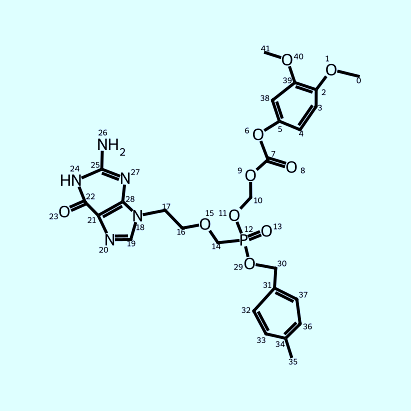 COc1ccc(OC(=O)OCOP(=O)(COCCn2cnc3c(=O)[nH]c(N)nc32)OCc2ccc(C)cc2)cc1OC